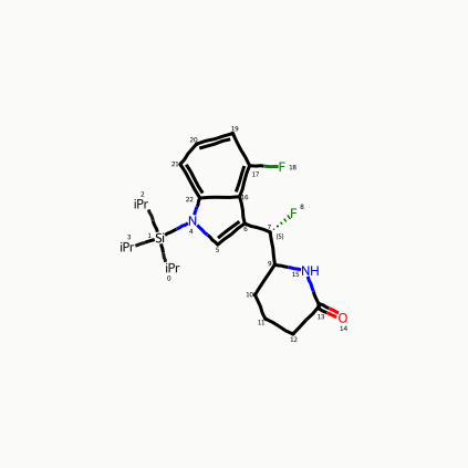 CC(C)[Si](C(C)C)(C(C)C)n1cc([C@H](F)C2CCCC(=O)N2)c2c(F)cccc21